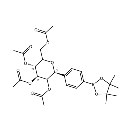 CC(=O)OCC1O[C@@H](c2ccc(B3OC(C)(C)C(C)(C)O3)cc2)C(OC(C)=O)[C@@H](OC(C)=O)[C@@H]1OC(C)=O